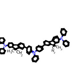 CC1(C)c2cc(-c3ccc(N(c4ccccc4)c4ccc(-c5ccc6c(c5)C(C)(C)c5cc(N(c7ccccc7)c7ccccc7)ccc5-6)cc4)cc3)ccc2-c2ccc(N(c3ccccc3)c3ccccc3)cc21